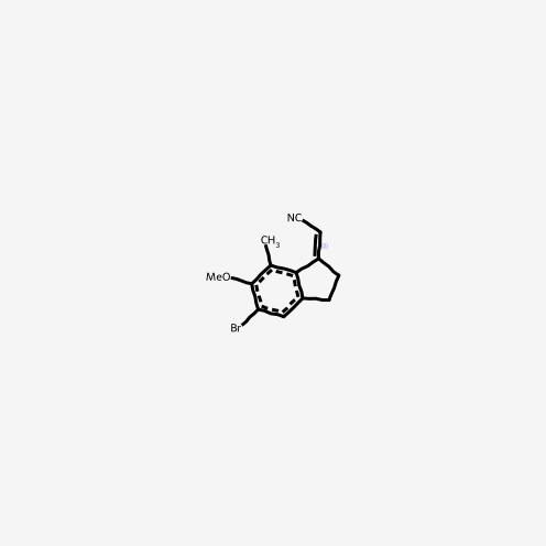 COc1c(Br)cc2c(c1C)/C(=C\C#N)CC2